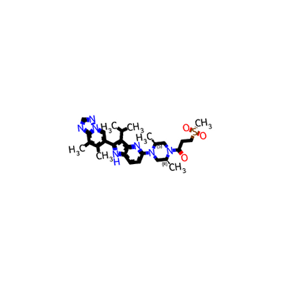 Cc1c(-c2[nH]c3ccc(N4C[C@@H](C)N(C(=O)CCS(C)(=O)=O)C[C@@H]4C)nc3c2C(C)C)cn2ncnc2c1C